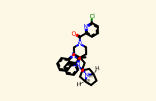 Cc1nc2ccccc2n1C1C[C@H]2CC[C@@H](C1)N2CCC1(c2ccccc2)CCN(C(=O)c2cccc(Cl)n2)CC1